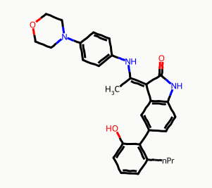 CCCc1cccc(O)c1-c1ccc2c(c1)/C(=C(\C)Nc1ccc(N3CCOCC3)cc1)C(=O)N2